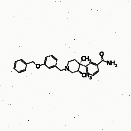 C[C@H]1CN(Cc2cccc(OCc3ccccc3)c2)CC[C@@]1(C)c1cccc(C(N)=O)c1